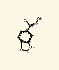 ON=C(Cl)c1ccc2c(c1)OCO2